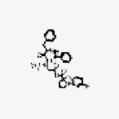 CN(CC(=O)OC(=O)[C@@]1(Oc2ccc(F)cc2)CCCN1)CC(=O)C(Cc1ccccc1)NC(=O)c1ccccc1